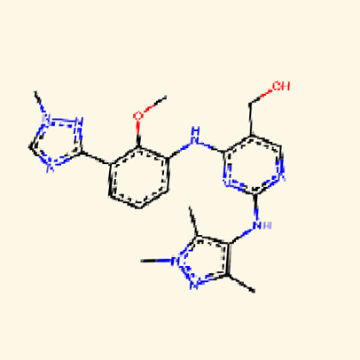 COc1c(Nc2nc(Nc3c(C)nn(C)c3C)ncc2CO)cccc1-c1ncn(C)n1